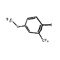 FC(F)(F)Oc1ccc(I)c(C(F)(F)F)c1